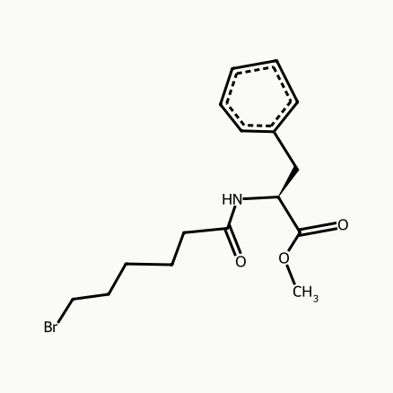 COC(=O)[C@H](Cc1ccccc1)NC(=O)CCCCCBr